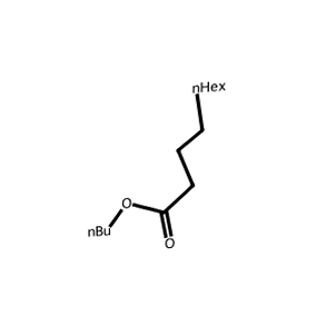 [CH2]CCCCCCCCC(=O)OCCCC